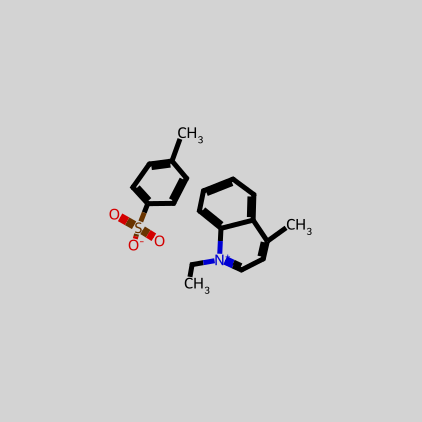 CC[n+]1ccc(C)c2ccccc21.Cc1ccc(S(=O)(=O)[O-])cc1